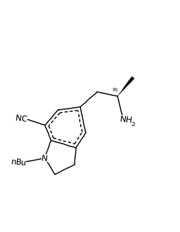 CCCCN1CCc2cc(C[C@@H](C)N)cc(C#N)c21